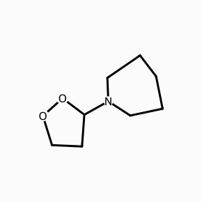 C1CCN(C2CCOO2)CC1